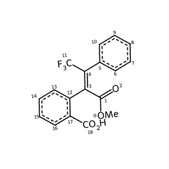 COC(=O)/C(=C(\c1ccccc1)C(F)(F)F)c1ccccc1C(=O)O